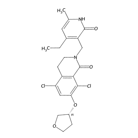 CCc1cc(C)[nH]c(=O)c1CN1CCc2c(Cl)cc(O[C@@H]3CCOC3)c(Cl)c2C1=O